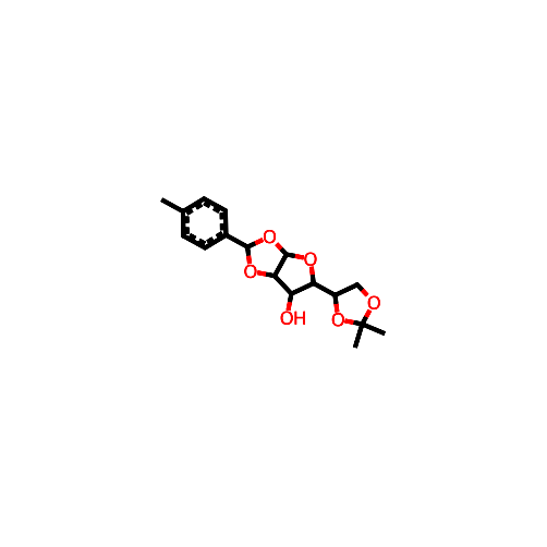 Cc1ccc(C2OC3OC(C4COC(C)(C)O4)C(O)C3O2)cc1